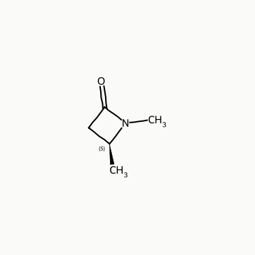 C[C@H]1CC(=O)N1C